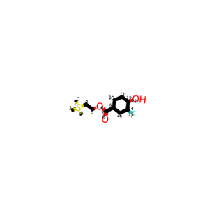 CS(C)(C)CCOC(=O)C1CCC(O)C(F)C1